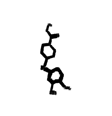 COc1cc(NC2CCN(C(=O)OC(C)(C)C)CC2)ccc1N